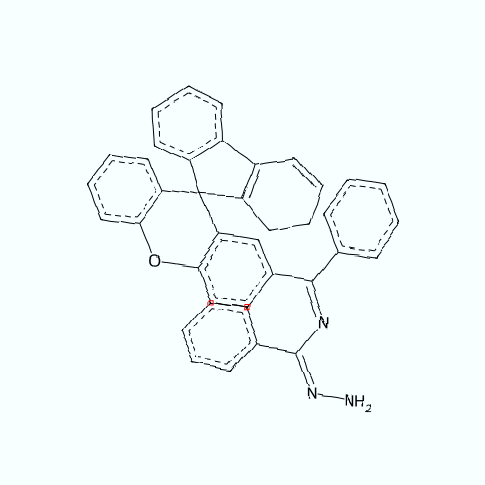 N/N=C(\N=C(\c1ccccc1)c1ccc2c(c1)C1(C3=C(C=CCC3)c3ccccc31)c1ccccc1O2)c1ccccc1